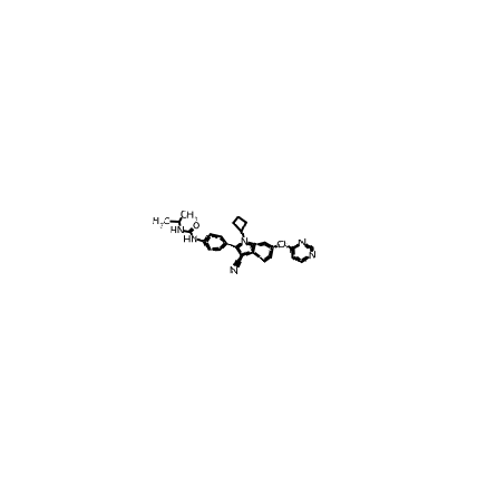 CC(C)NC(=O)Nc1ccc(-c2c(C#N)c3ccc(Oc4ccncn4)cc3n2C2CCC2)cc1